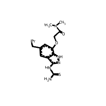 CC(C)Cc1cc(OCC(=O)N(C)C)c2[nH]nc(NC(N)=S)c2c1